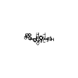 COc1cc(-c2ccc3c(c2)Nc2ccc(NC(=O)c4cc(C)[nH]c4C)cc2NC3=O)ccc1[N+](=O)[O-]